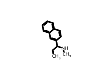 CCC(NC)c1ccc2ccccc2c1